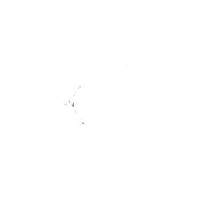 CC(=O)C1(NC(=O)OCC(F)(F)F)CC1